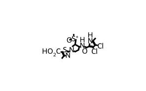 Cc1nc(N2CCC(NC(=O)c3[nH]c(C)c(Cl)c3Cl)C(C[S+](C)[O-])C2)sc1C(=O)O